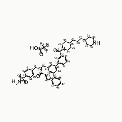 NS(=O)(=O)c1ccc(CN(Cc2cccc(-c3cccc(C(=O)N4CCC(CCCC5CCNCC5)CC4)c3)c2)C(=O)C=Cc2ccccc2)cc1.O=C(O)C(F)(F)F